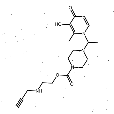 C#CCNCCOC(=O)N1CCN(C(C)n2ccc(=O)c(O)c2C)CC1